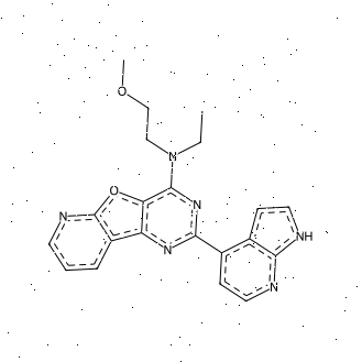 CCN(CCOC)c1nc(-c2ccnc3[nH]ccc23)nc2c1oc1ncccc12